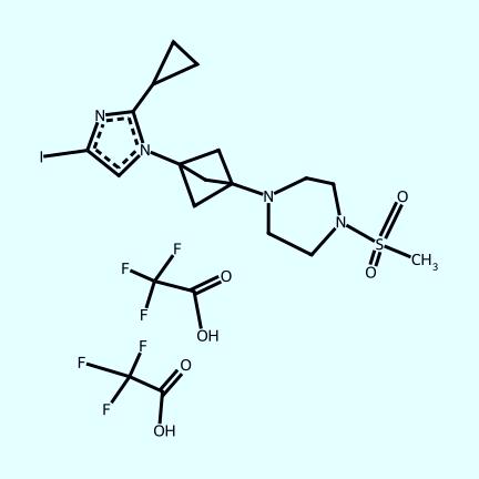 CS(=O)(=O)N1CCN(C23CC(n4cc(I)nc4C4CC4)(C2)C3)CC1.O=C(O)C(F)(F)F.O=C(O)C(F)(F)F